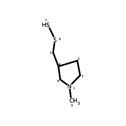 CN1CCC(CSS)C1